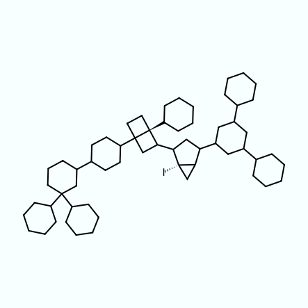 I[C@@]12CC1C(C1CC(C3CCCCC3)CC(C3CCCCC3)C1)CC2C1CC2(C3CCC(C4CCCC(C5CCCCC5)(C5CCCCC5)C4)CC3)CC[C@]12C1CCCCC1